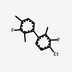 CCc1ccc(-c2ccc(C)c(F)c2C)c(C)c1F